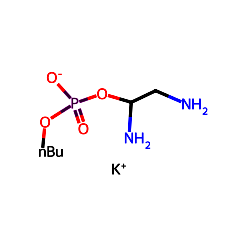 CCCCOP(=O)([O-])OC(N)CN.[K+]